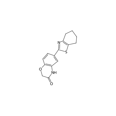 O=C1COc2ccc(-c3nc4c(s3)CCCC4)cc2N1